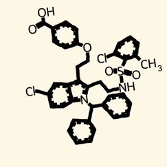 Cc1cccc(Cl)c1S(=O)(=O)NCCc1c(CCOc2ccc(C(=O)O)cc2)c2cc(Cl)ccc2n1C(c1ccccc1)c1ccccc1